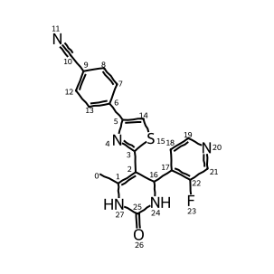 CC1=C(c2nc(-c3ccc(C#N)cc3)cs2)C(c2ccncc2F)NC(=O)N1